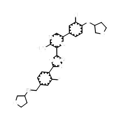 Nc1ncc(-c2ccc(SC3CCOC3)c(Cl)c2)nc1-c1nnc(-c2ccc(CNC3CCOC3)cc2F)o1